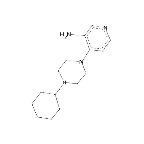 Nc1cnccc1N1CCN(C2CCCCC2)CC1